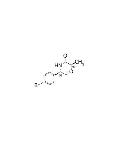 C[C@H]1OC[C@@H](c2ccc(Br)cc2)NC1=O